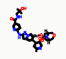 Cc1cc(-c2ccn3nc(Nc4ccc(C(=O)NCC(C)(C)O)cn4)cc3c2)c(OC2C[C@H]3COC[C@@H](C2)N3C(=O)OC(C)(C)C)cn1